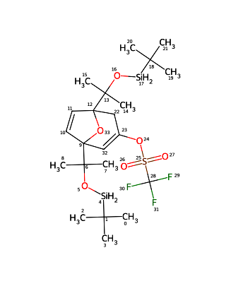 CC(C)(C)[SiH2]OC(C)(C)C12C=CC(C(C)(C)O[SiH2]C(C)(C)C)(CC(OS(=O)(=O)C(F)(F)F)=C1)O2